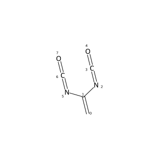 C=C(N=C=O)N=C=O